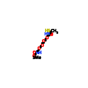 CSOCC(=O)NCCOCCOCCOCCOCCNC(=O)C(C)S